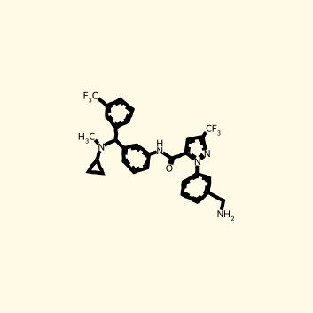 CN(C1CC1)C(c1cccc(NC(=O)c2cc(C(F)(F)F)nn2-c2cccc(CN)c2)c1)c1cccc(C(F)(F)F)c1